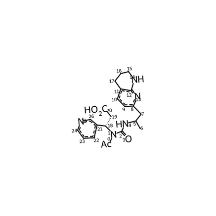 CC(=O)N(C(=O)NC(C)Cc1ccc2c(n1)NCCC2)[C@@H](CC(=O)O)c1cccnc1